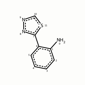 Nc1ccccc1-c1nn[c]s1